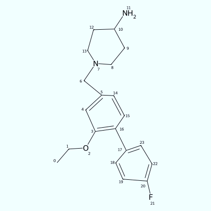 CCOc1cc(CN2CCC(N)CC2)ccc1-c1ccc(F)cc1